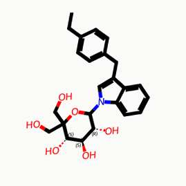 CCc1ccc(Cc2cn(C3OC(CO)(CO)[C@@H](O)[C@H](O)[C@H]3O)c3ccccc23)cc1